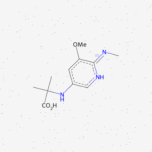 C/N=c1\[nH]cc(NC(C)(C)C(=O)O)cc1OC